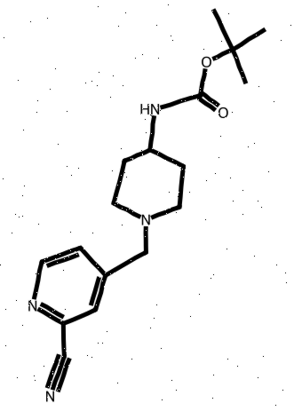 CC(C)(C)OC(=O)NC1CCN(Cc2ccnc(C#N)c2)CC1